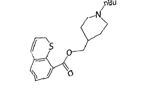 CCCCN1CCC(COC(=O)c2cccc3c2SCC=C3)CC1